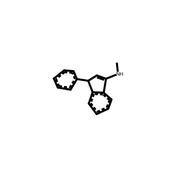 CNC1=CC(c2ccccc2)c2ccccc21